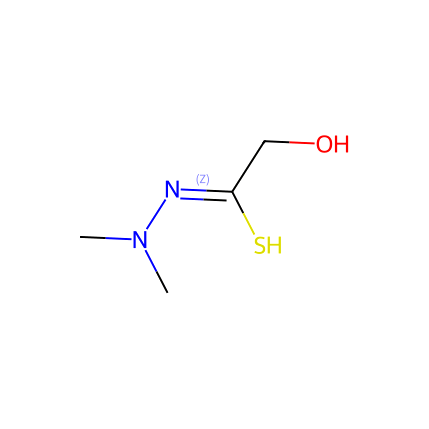 CN(C)/N=C(\S)CO